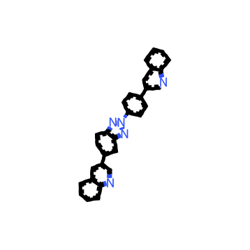 c1ccc2ncc(-c3ccc(-n4nc5ccc(-c6cnc7ccccc7c6)cc5n4)cc3)cc2c1